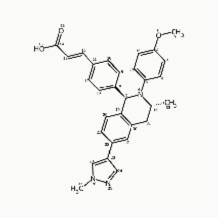 COc1ccc(N2[C@H](c3ccc(/C=C/C(=O)O)cc3)c3ccc(-c4cnn(C)c4)cc3C[C@H]2C)cc1